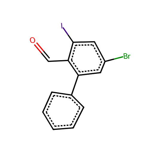 O=Cc1c(I)cc(Br)cc1-c1ccccc1